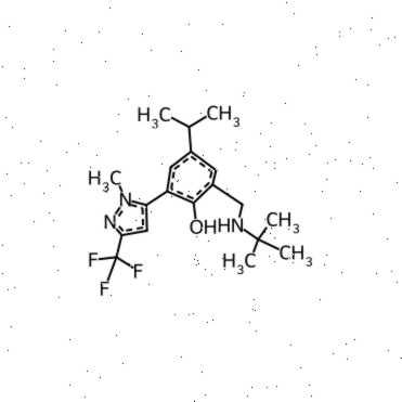 CC(C)c1cc(CNC(C)(C)C)c(O)c(-c2cc(C(F)(F)F)nn2C)c1